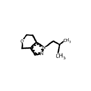 CC(C)Cn1ncc2c1CCOC2